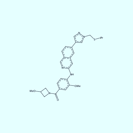 COc1cc(C(=O)N2CC(OC)C2)ccc1Nc1cc2cc(-c3cnn(CSC(C)C)c3)ccc2cn1